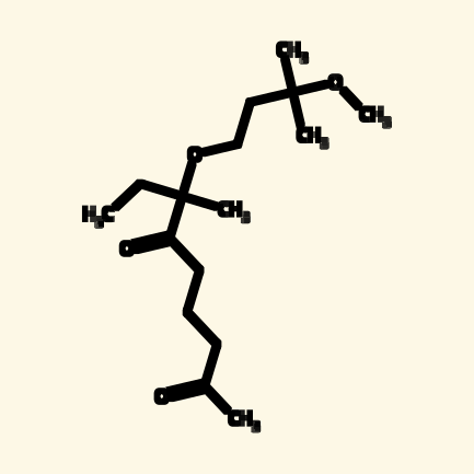 CCC(C)(OCCC(C)(C)OC)C(=O)CCCC(C)=O